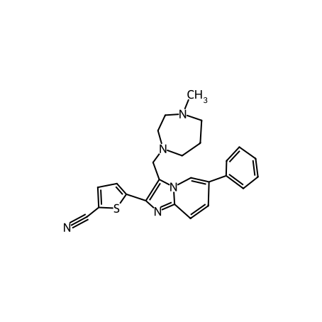 CN1CCCN(Cc2c(-c3ccc(C#N)s3)nc3ccc(-c4ccccc4)cn23)CC1